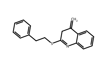 C=C1CC(SCCc2ccccc2)=Nc2ccccc21